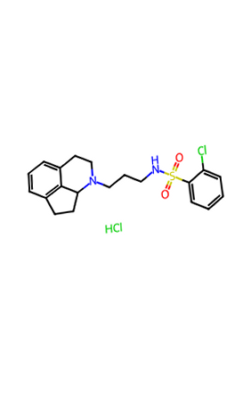 Cl.O=S(=O)(NCCCN1CCc2cccc3c2C1CC3)c1ccccc1Cl